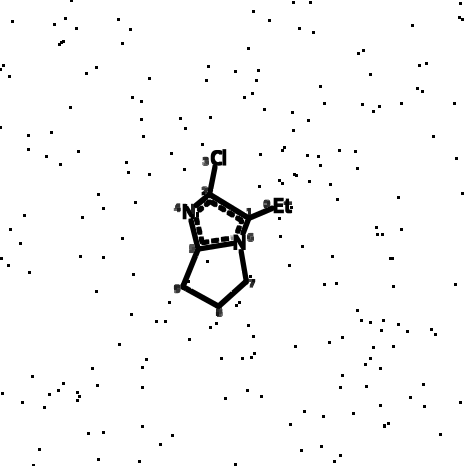 CCc1c(Cl)nc2n1CCC2